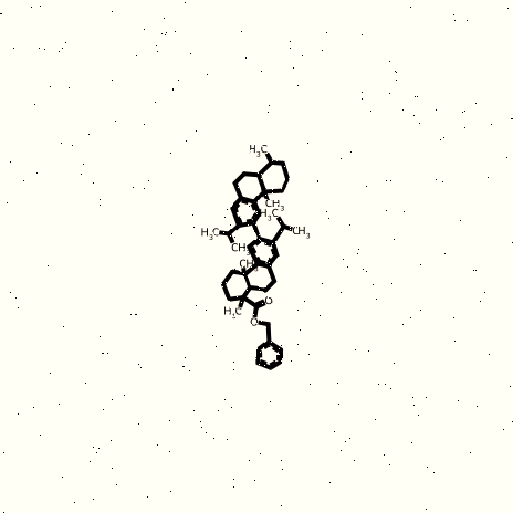 CC(C)c1cc2c(cc1-c1cc3c(cc1C(C)C)CCC1C(C)(C(=O)OCc4ccccc4)CCCC31C)C1(C)CCCC(C)C1CC2